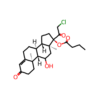 CCCC(=O)O[C@]1(C(=O)CCl)CC[C@H]2[C@@H]3CCC4=CC(=O)CC[C@]4(C)[C@H]3C(O)C[C@@]21C